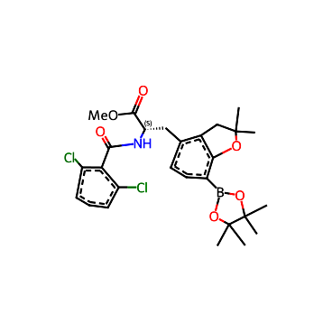 COC(=O)[C@H](Cc1ccc(B2OC(C)(C)C(C)(C)O2)c2c1CC(C)(C)O2)NC(=O)c1c(Cl)cccc1Cl